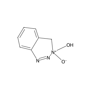 [O-][N+]1(O)Cc2ccccc2N=N1